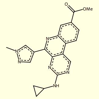 COC(=O)c1ccc2c(c1)nc(-c1cnn(C)c1)c1nc(NC3CC3)ncc12